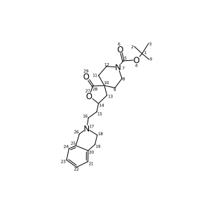 CC(C)(C)OC(=O)N1CCC2(CC1)CC(CCN1CCc3ccccc3C1)OC2=O